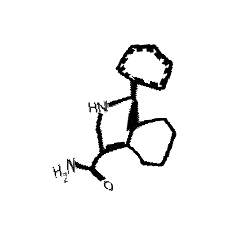 NC(=O)C1=C2CCCCC2=C(c2ccccc2)NC1